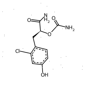 NC(=O)O[C@@H](Cc1ccc(O)cc1Cl)C(N)=O